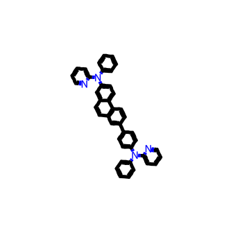 c1ccc(N(c2ccc(-c3ccc4c(ccc5cc(N(c6ccccc6)c6ccccn6)ccc54)c3)cc2)c2ccccn2)cc1